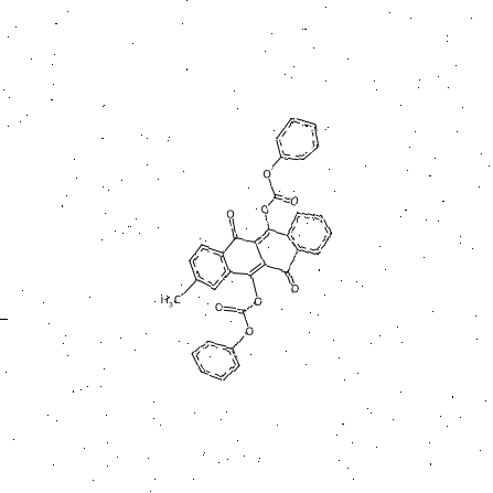 Cc1ccc2c(c1)C(OC(=O)Oc1ccccc1)=C1C(=O)c3ccccc3C(OC(=O)Oc3ccccc3)=C1C2=O